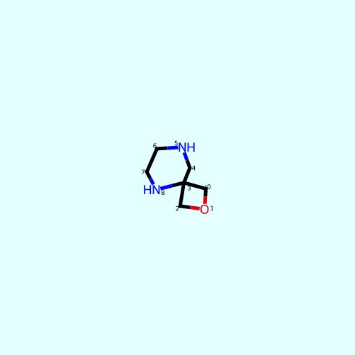 [CH]1OCC12CNCCN2